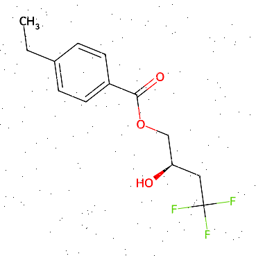 CCc1ccc(C(=O)OC[C@H](O)CC(F)(F)F)cc1